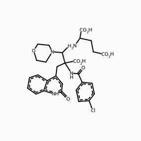 CC(N1CCOCC1)C(Cc1cc(=O)[nH]c2ccccc12)(NC(=O)c1ccc(Cl)cc1)C(=O)O.NC(CCC(=O)O)C(=O)O